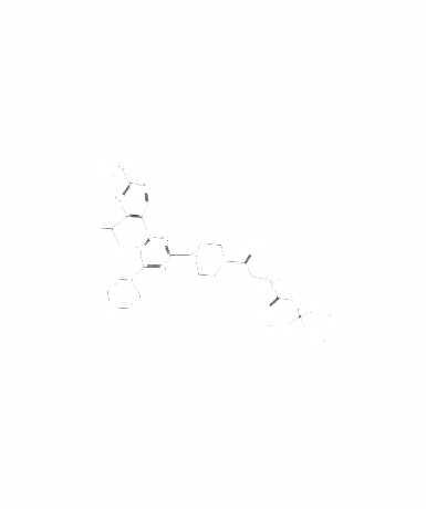 CC(C)(C)OC(=O)NCC(=O)N1CCN(c2nc(-c3cnc(N)nc3C(F)F)nc(N3CCOCC3)n2)CC1